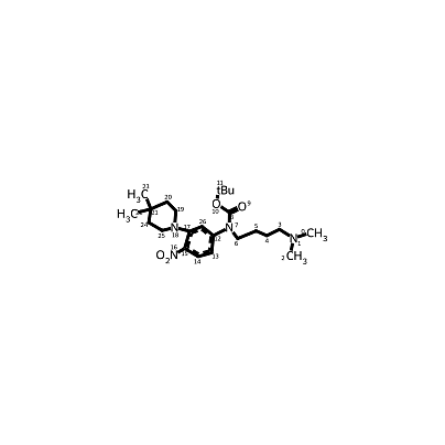 CN(C)CCCCN(C(=O)OC(C)(C)C)c1ccc([N+](=O)[O-])c(N2CCC(C)(C)CC2)c1